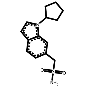 NS(=O)(=O)Cc1ccc2ccn(C3CCCC3)c2c1